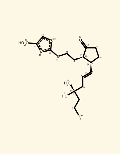 CC(C)CC[C@](C)(O)C/C=C/[C@@H]1CCC(=O)[C@@H]1CCSc1nc(C(=O)O)cs1